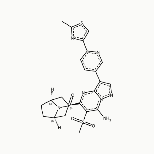 Cc1nc(-c2ccc(-c3cnn4c(N)c(S(C)(=O)=O)c([C@H]5C[C@H]6CC[C@@H](C5)N6C=O)nc34)cn2)cs1